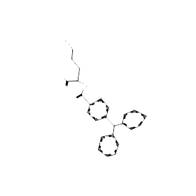 NCCCC(NC(=O)c1ccc(C(c2ccccc2)c2ccccc2)cc1)C(=O)O